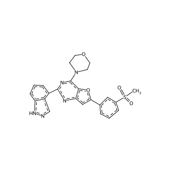 CS(=O)(=O)c1cccc(-c2cc3nc(-c4cccc5[nH]ncc45)nc(N4CCOCC4)c3o2)c1